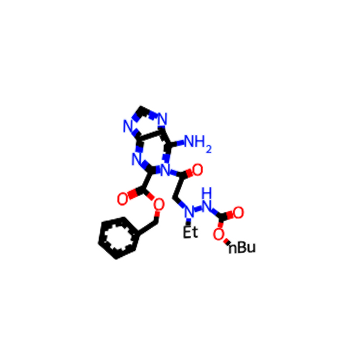 CCCCOC(=O)NN(CC)CC(=O)n1c(C(=O)OCc2ccccc2)nc2ncnc-2c1N